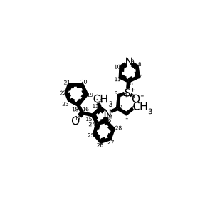 CCC(C[S+]([O-])c1ccncc1)n1c(C)c(C(=O)c2ccccc2)c2ccccc21